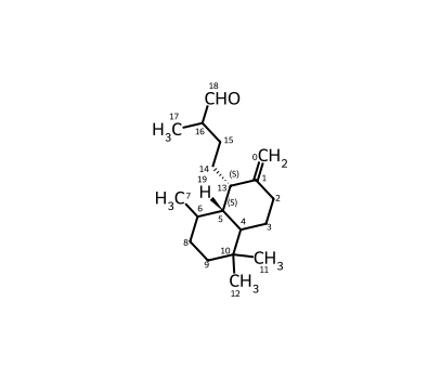 C=C1CCC2[C@H](C(C)CCC2(C)C)[C@@H]1CCC(C)C=O